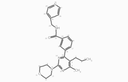 CCCc1c(C)nc(N2CCOCC2)nc1-c1cccc(C(=O)NCc2ccncc2)c1